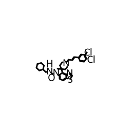 O=C(NCC1CCCCC1)N1CC2(CCN(C/C=C/c3ccc(Cl)c(Cl)c3)CC2)c2c1ccc1scnc21